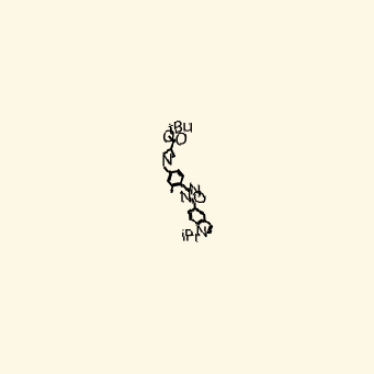 Cc1cc(CN2CC(C(=O)OC(C)(C)C)C2)ccc1-c1noc(-c2ccc3c(ccn3C(C)C)c2)n1